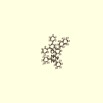 c1ccc(-c2cc(-c3ccccc3)c3oc4c(-c5nc(-c6ccccc6)nc(-c6ccccc6)n5)ccc(-c5ccc6ccccc6c5)c4c3c2)cc1